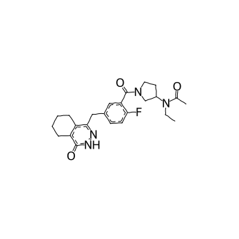 CCN(C(C)=O)C1CCN(C(=O)c2cc(Cc3n[nH]c(=O)c4c3CCCC4)ccc2F)C1